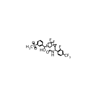 CS(=O)(=O)c1cccc(C(O)N2CC(F)(F)C[C@@H]2C(=O)N[C@@H](c2ccc(C(F)(F)F)cc2F)C2CC2)c1